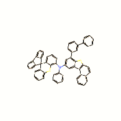 c1ccc(-c2cccc(-c3cc(N(c4ccccc4)c4cccc5c4Sc4ccccc4C54c5ccccc5-c5ccccc54)cc4c3sc3ccc5ccccc5c34)c2)cc1